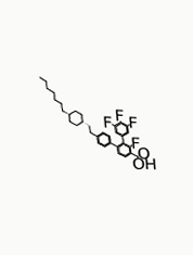 CCCCCCC[C@H]1CC[C@H](CCc2ccc(-c3ccc(C(=O)O)c(F)c3-c3cc(F)c(F)c(F)c3)cc2)CC1